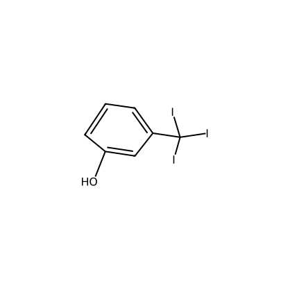 Oc1cccc(C(I)(I)I)c1